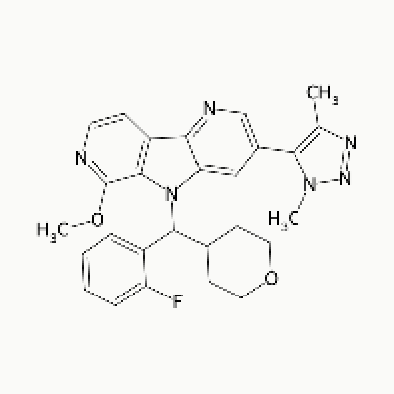 COc1nccc2c3ncc(-c4c(C)nnn4C)cc3n(C(c3ccccc3F)C3CCOCC3)c12